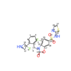 C[C@H](c1ccccc1C1(F)CNC1)n1c(=O)oc2cc(S(=O)(=O)Nc3nccs3)cc(F)c21